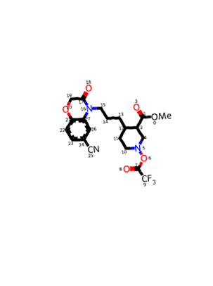 COC(=O)C1CN(OC(=O)C(F)(F)F)CCC1CCCN1C(=O)COc2ccc(C#N)cc21